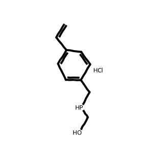 C=Cc1ccc(CPCO)cc1.Cl